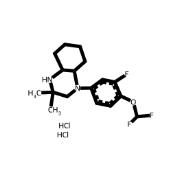 CC1(C)CN(c2ccc(OC(F)F)c(F)c2)C2CCCCC2N1.Cl.Cl